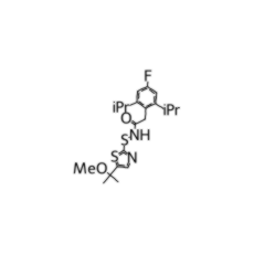 COC(C)(C)c1cnc(SNC(=O)Cc2c(C(C)C)cc(F)cc2C(C)C)s1